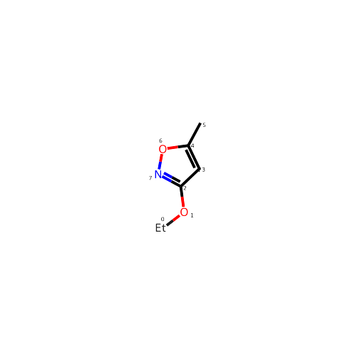 CCOc1[c]c(C)on1